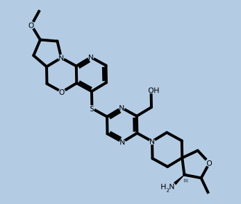 COC1CC2COc3c(Sc4cnc(N5CCC6(CC5)COC(C)[C@H]6N)c(CO)n4)ccnc3N2C1